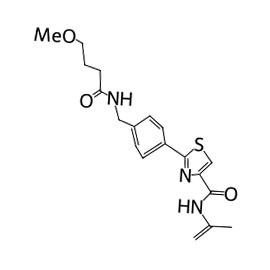 C=C(C)NC(=O)c1csc(-c2ccc(CNC(=O)CCCOC)cc2)n1